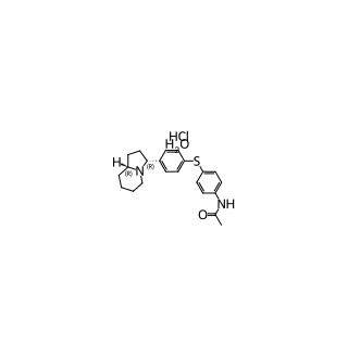 CC(=O)Nc1ccc(Sc2ccc([C@H]3CC[C@H]4CCCCN43)cc2)cc1.Cl.O